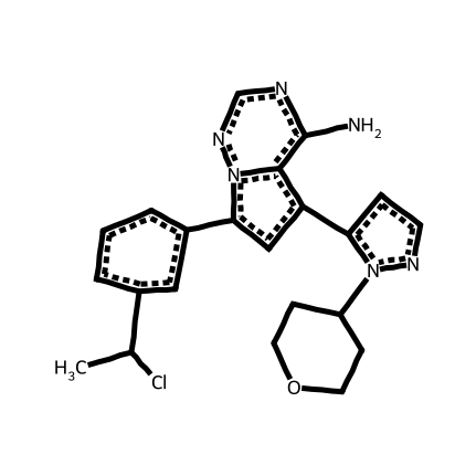 CC(Cl)c1cccc(-c2cc(-c3ccnn3C3CCOCC3)c3c(N)ncnn23)c1